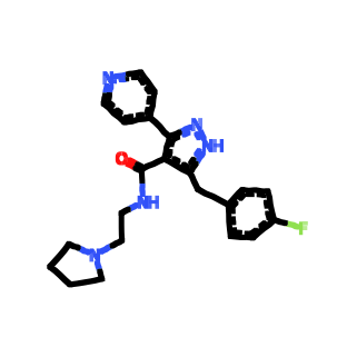 O=C(NCCN1CCCC1)c1c(-c2ccncc2)n[nH]c1Cc1ccc(F)cc1